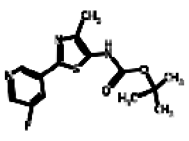 Cc1nc(-c2cncc(F)c2)sc1NC(=O)OC(C)(C)C